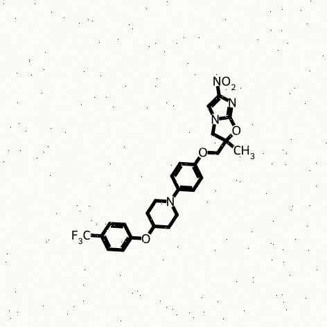 CC1(COc2ccc(N3CCC(Oc4ccc(C(F)(F)F)cc4)CC3)cc2)Cn2cc([N+](=O)[O-])nc2O1